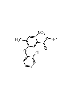 Cc1cc([N+](=O)[O-])c(C(=O)OC(C)C)cc1Oc1ccccc1Cl